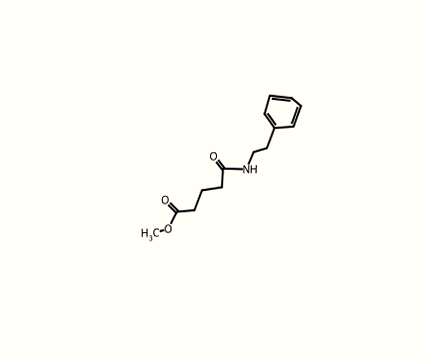 COC(=O)CCCC(=O)NCCc1ccccc1